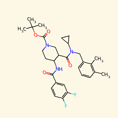 Cc1cccc(CN(C(=O)C2CN(C(=O)OC(C)(C)C)CCC2NC(=O)c2ccc(F)c(F)c2)C2CC2)c1C